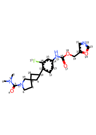 CN(C)C(=O)N1CCC2(CC(c3ccc(NC(=O)OCc4cnco4)cc3F)C2)C1